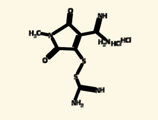 CN1C(=O)C(SSC(=N)N)=C(C(=N)N)C1=O.Cl.Cl